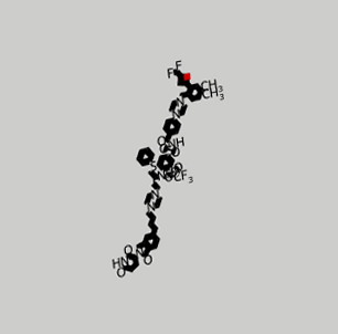 CC1(C)CCC(CN2CCN(c3ccc(C(=O)NS(=O)(=O)c4ccc(N[C@H](CCN5CCN(CCCCc6ccc7c(c6)CN(C6CCC(=O)NC6=O)C7=O)CC5)CSc5ccccc5)c(S(=O)(=O)C(F)(F)F)c4)cc3)CC2)=C(C23CC(C(F)F)(C2)C3)C1